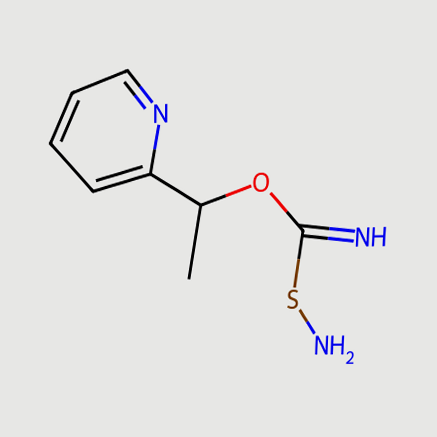 CC(OC(=N)SN)c1ccccn1